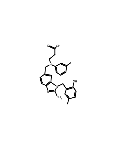 Cc1cccc(N(CCC(=O)O)Cc2ccc3nc(N)n(Cc4nc(C)ccc4O)c3c2)c1